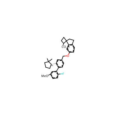 COc1ccc(F)c(-c2ccc(COc3ccc4c(c3)C3(CC4)CCC3C(=O)O)cc2[C@@H]2CCCC2(C)C)c1